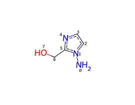 Nn1ccnc1CO